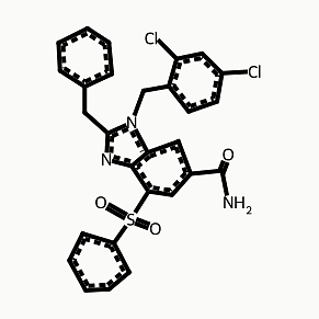 NC(=O)c1cc(S(=O)(=O)c2ccccc2)c2nc(Cc3ccccc3)n(Cc3ccc(Cl)cc3Cl)c2c1